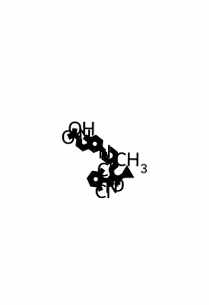 CC1(C=Cc2c(-c3c(Cl)cccc3Cl)noc2C2CC2)CCN(c2ccc3nc(C(=O)O)ccc3c2)CC1